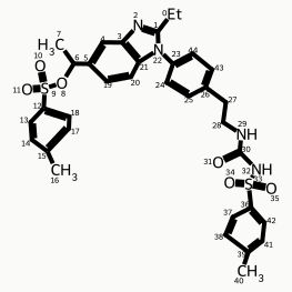 CCc1nc2cc(C(C)OS(=O)(=O)c3ccc(C)cc3)ccc2n1-c1ccc(CCNC(=O)NS(=O)(=O)c2ccc(C)cc2)cc1